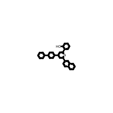 Oc1ccccc1-c1cc(-c2ccc(-c3ccccc3)cc2)cc(-c2ccc3ccccc3c2)n1